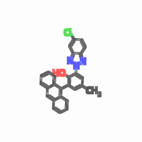 Cc1cc(-c2c3ccccc3cc3ccccc23)c(O)c(-n2nc3ccc(Cl)cc3n2)c1